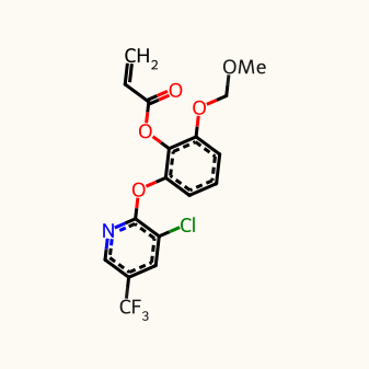 C=CC(=O)Oc1c(OCOC)cccc1Oc1ncc(C(F)(F)F)cc1Cl